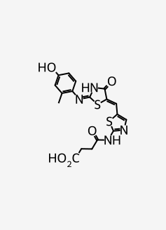 Cc1cc(O)ccc1N=C1NC(=O)C(=Cc2cnc(NC(=O)CCC(=O)O)s2)S1